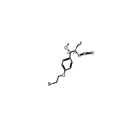 CO[C@H](c1ccc(OCCBr)cc1)[C@@H](CF)N=[N+]=[N-]